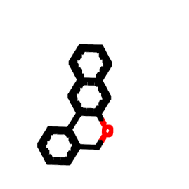 c1ccc2c(c1)COc1cc3ccccc3cc1-2